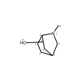 CN1CC2CCC1C(O)C2